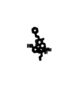 C=CCN1CC[C@]23c4c5ccc(O)c4OC2C(N(C)C(=O)/C=C/c2ccccc2)CC[C@@]3(OC(C)=O)[C@H]1C5